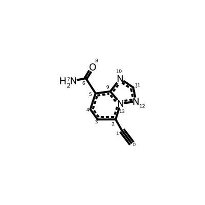 C#Cc1ccc(C(N)=O)c2n[c]nn12